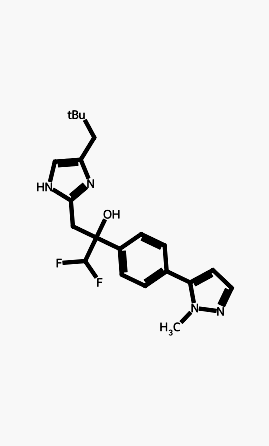 Cn1nccc1-c1ccc(C(O)(Cc2nc(CC(C)(C)C)c[nH]2)C(F)F)cc1